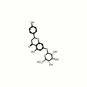 O=C1CC(c2ccc(O)cc2)Oc2cc(OC3O[C@H](C(=O)O)[C@@H](O)[C@H](O)[C@H]3O)cc(O)c21